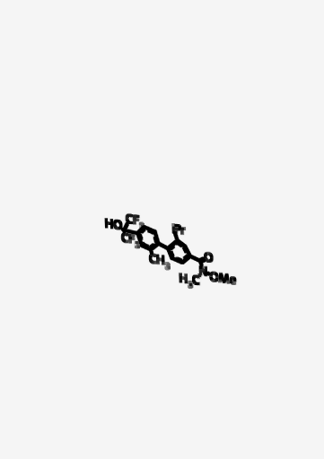 CON(C)C(=O)c1ccc(-c2ccc(C(O)(C(F)(F)F)C(F)(F)F)cc2C)c(C(C)C)c1